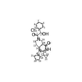 O=C([C@H](O)c1ccccc1Cl)N1CCc2nc(C3(c4cccs4)CC3)[nH]c(=O)c2C1